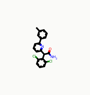 Cc1cccc(-c2cccc(C(C(N)=O)c3c(Cl)cccc3Cl)n2)c1